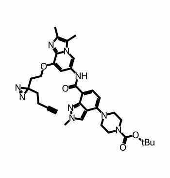 C#CCCC1(CCOc2cc(NC(=O)c3ccc(N4CCN(C(=O)OC(C)(C)C)CC4)c4cn(C)nc34)cn3c(C)c(C)nc23)N=N1